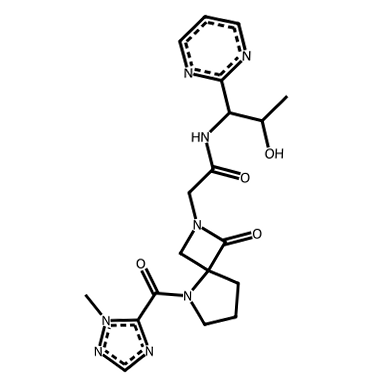 CC(O)C(NC(=O)CN1CC2(CCCN2C(=O)c2ncnn2C)C1=O)c1ncccn1